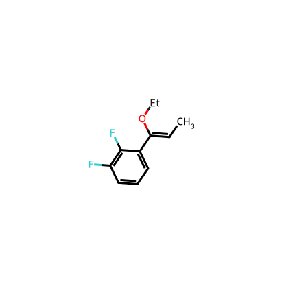 [CH2]COC(=CC)c1cccc(F)c1F